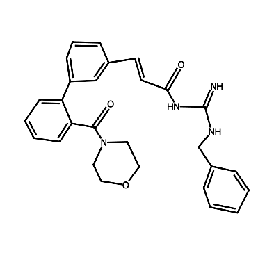 N=C(NCc1ccccc1)NC(=O)C=Cc1cccc(-c2ccccc2C(=O)N2CCOCC2)c1